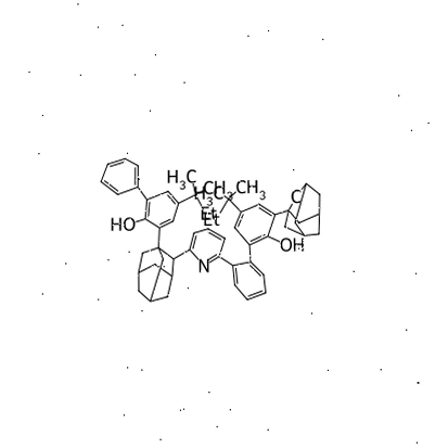 CCC(C)(C)c1cc(-c2ccccc2-c2cccc(C3C4CC5CC(C4)CC3(c3cc(C(C)(C)CC)cc(-c4ccccc4)c3O)C5)n2)c(O)c(C23CC4CC(CC(C4)C2)C3)c1